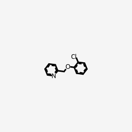 Clc1ccccc1OCc1ccccn1